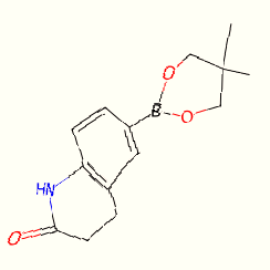 CC1(C)COB(c2ccc3c(c2)CCC(=O)N3)OC1